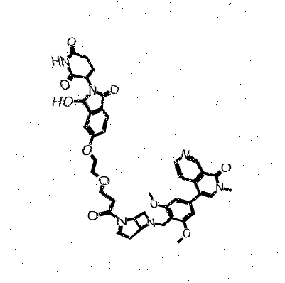 COc1cc(-c2cn(C)c(=O)c3cnccc23)cc(OC)c1CN1CC2C1CCN2C(=O)CCOCCOc1ccc2c(c1)C(O)N(C1CCC(=O)NC1=O)C2=O